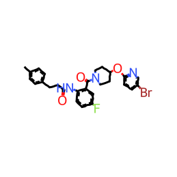 Cc1ccc(CCC(=O)Nc2ccc(F)cc2C(=O)N2CCC(Oc3ccc(Br)cn3)CC2)cc1